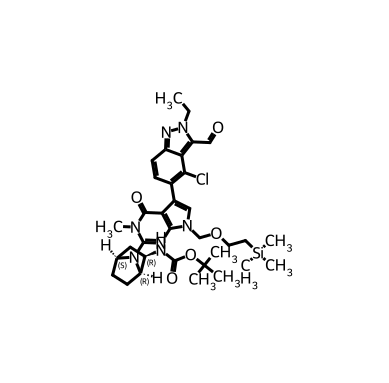 CCn1nc2ccc(-c3cn(COCC[Si](C)(C)C)c4nc(N5[C@H]6CC[C@@H]5[C@H](NC(=O)OC(C)(C)C)C6)n(C)c(=O)c34)c(Cl)c2c1C=O